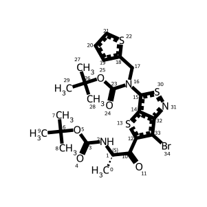 C[C@H](NC(=O)OC(C)(C)C)C(=O)c1sc2c(N(Cc3cccs3)C(=O)OC(C)(C)C)snc2c1Br